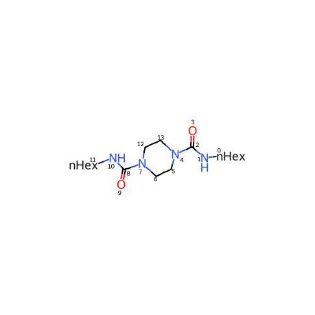 CCCCCCNC(=O)N1CCN(C(=O)NCCCCCC)CC1